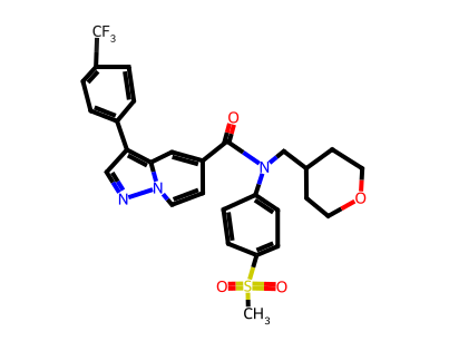 CS(=O)(=O)c1ccc(N(CC2CCOCC2)C(=O)c2ccn3ncc(-c4ccc(C(F)(F)F)cc4)c3c2)cc1